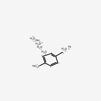 Cc1ccc(S(=O)(=O)O)cc1.O.O.O.O.O.O.[Fe]